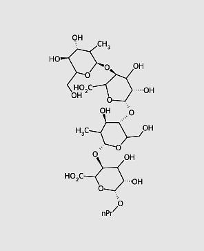 CCCO[C@@H]1OC(C(=O)O)[C@@H](O[C@H]2OC(CO)[C@@H](O[C@@H]3OC(C(=O)O)[C@@H](O[C@H]4OC(CO)[C@@H](O)[C@H](O)C4C)C(O)[C@@H]3O)[C@H](O)C2C)C(O)[C@@H]1O